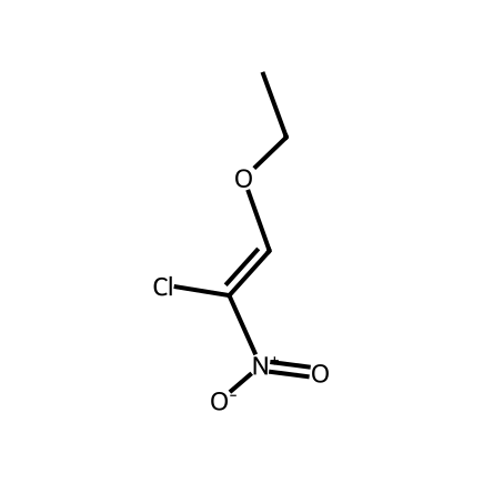 CCOC=C(Cl)[N+](=O)[O-]